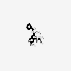 CC(C)Nc1nc([C@@H](C)OC(=O)c2ccccc2)cc2cnc(N)cc12